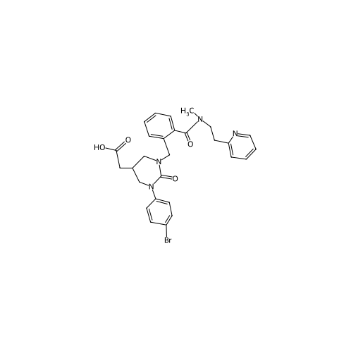 CN(CCc1ccccn1)C(=O)c1ccccc1CN1CC(CC(=O)O)CN(c2ccc(Br)cc2)C1=O